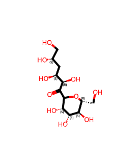 O=C(C1O[C@H](CO)[C@@H](O)[C@H](O)[C@@H]1O)[C@H](O)[C@@H](O)C[C@H](O)CO